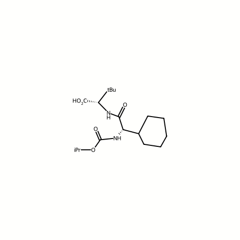 CC(C)OC(=O)N[C@H](C(=O)N[C@H](C(=O)O)C(C)(C)C)C1CCCCC1